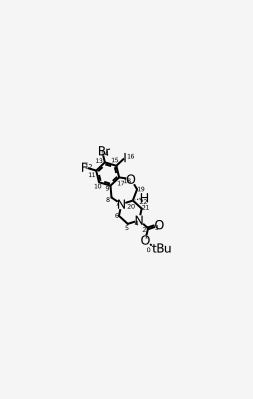 CC(C)(C)OC(=O)N1CCN2Cc3cc(F)c(Br)c(I)c3OC[C@H]2C1